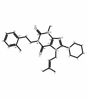 CC(C)=CCn1c(N2CCCCC2)nc2c1c(=O)n(CCc1ccccc1C)c(=O)n2C